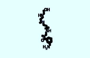 C/C(CCNCCO)=N\CCC(C)(C)NCCN(C)C(=O)c1cccc(CN)c1